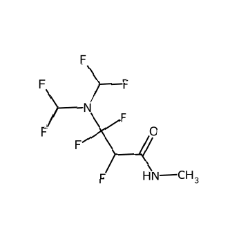 CNC(=O)C(F)C(F)(F)N(C(F)F)C(F)F